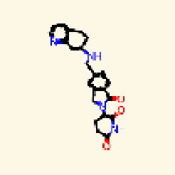 O=C1CCC(N2Cc3cc(CNC4CCc5cccnc5C4)ccc3C2=O)C(=O)N1